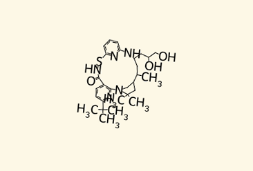 CC1CC(CC(O)CO)Nc2cccc(n2)SNC(=O)c2ccc(C(C)(C)C)nc2N2CC1CC2(C)C